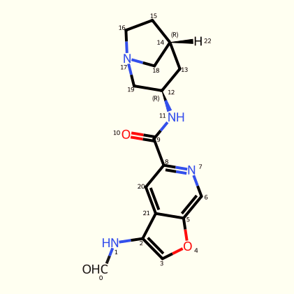 O=CNc1coc2cnc(C(=O)N[C@@H]3C[C@H]4CCN(C4)C3)cc12